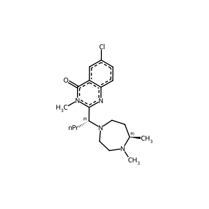 CCC[C@H](c1nc2ccc(Cl)cc2c(=O)n1C)N1CC[C@@H](C)N(C)CC1